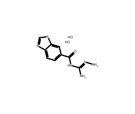 Cl.Cl.NN=C(N)NC(=O)c1ccc2ncsc2c1